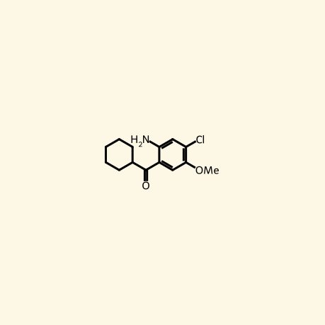 COc1cc(C(=O)C2CCCCC2)c(N)cc1Cl